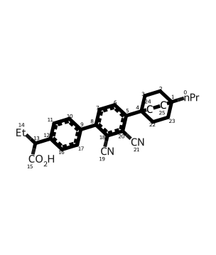 CCCC12CCC(c3ccc(-c4ccc(C(CC)C(=O)O)cc4)c(C#N)c3C#N)(CC1)CC2